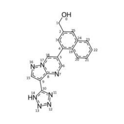 OCc1cc(-c2cnc3c(-c4nnn[nH]4)cnn3c2)c2ccccc2c1